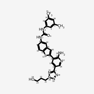 Cc1cc(NC(=O)Nc2ccc3sc(-c4cc(-c5nnn(CCCO)n5)cnc4N)cc3c2)cc(C(F)(F)F)c1